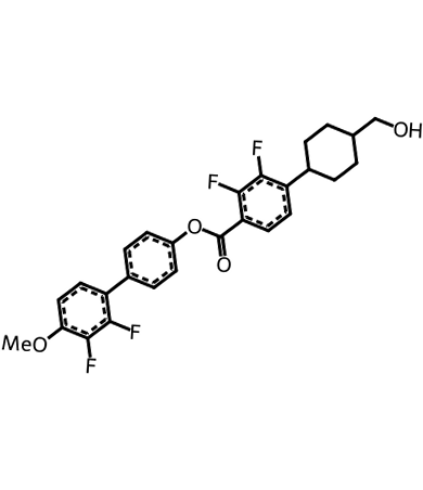 COc1ccc(-c2ccc(OC(=O)c3ccc(C4CCC(CO)CC4)c(F)c3F)cc2)c(F)c1F